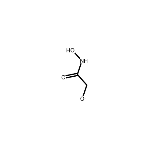 [O]CC(=O)NO